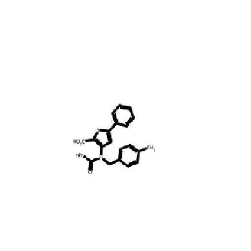 CCCC(=O)N(Cc1ccc(C)cc1)c1cc(-c2ccccc2)sc1C(=O)O